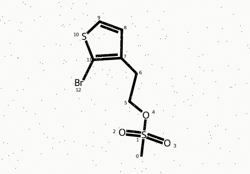 CS(=O)(=O)OCCc1ccsc1Br